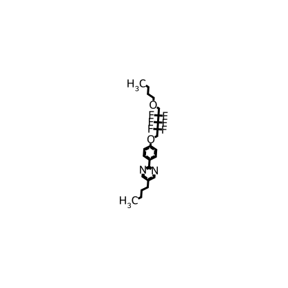 CCCCOCC(F)(F)C(F)(F)C(F)(F)COc1ccc(-c2ncc(CCCC)cn2)cc1